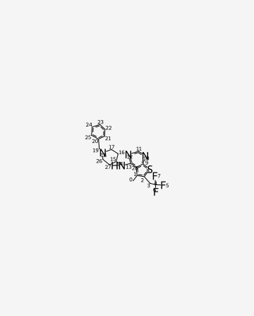 Cc1c(CC(F)(F)F)sc2ncnc(NC3CCN(Cc4ccccc4)CC3)c12